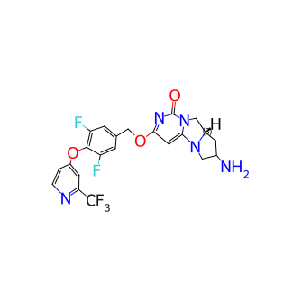 NC1C[C@H]2Cn3c(cc(OCc4cc(F)c(Oc5ccnc(C(F)(F)F)c5)c(F)c4)nc3=O)N2C1